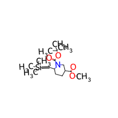 COC(=O)C1CCC(C#C[Si](C)(C)C)N(C(=O)OC(C)(C)C)C1